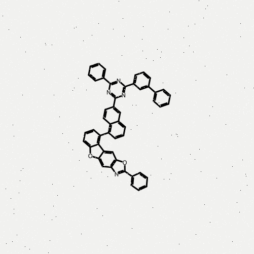 c1ccc(-c2cccc(-c3nc(-c4ccccc4)nc(-c4ccc5c(-c6cccc7oc8cc9nc(-c%10ccccc%10)oc9cc8c67)cccc5c4)n3)c2)cc1